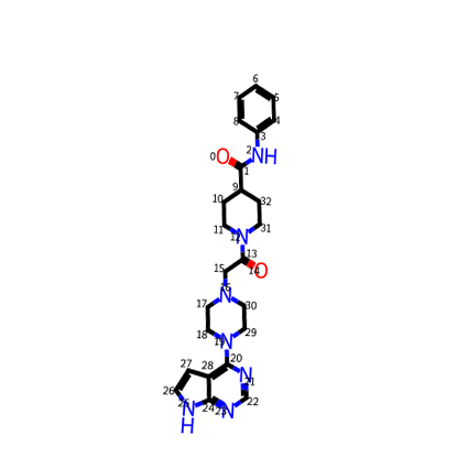 O=C(Nc1ccccc1)C1CCN(C(=O)CN2CCN(c3ncnc4[nH]ccc34)CC2)CC1